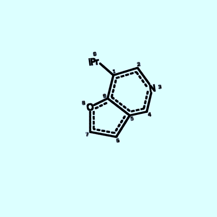 CC(C)c1cncc2ccoc12